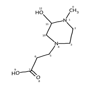 CN1CCN(CCC(=O)O)CC1O